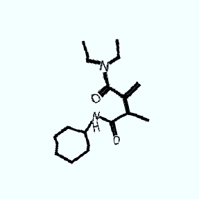 C=C(C(=O)N(CC)CC)C(C)C(=O)NC1CCCCC1